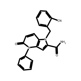 N#Cc1ccccc1Cn1c(C(N)=O)cc2c1ccc(=O)n2-c1ccccc1